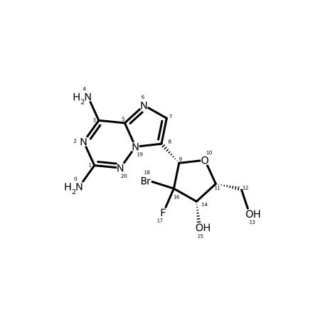 Nc1nc(N)c2ncc([C@@H]3O[C@H](CO)[C@H](O)C3(F)Br)n2n1